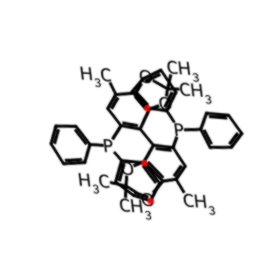 Cc1cc(P(c2ccccc2)c2ccccc2)c(-c2c(P(c3ccccc3)c3ccccc3)cc(C)c3c2OC(C)(C)O3)c2c1OC(C)(C)O2